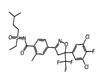 CCS(=O)(CCC(C)C)=NC(=O)c1ccc(C2=NOC(c3cc(Cl)c(F)c(Cl)c3)(C(F)(F)F)C2)cc1C